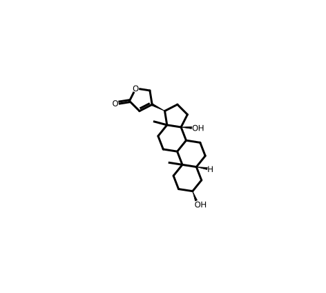 CC12CC[C@H](O)C[C@H]1CCC1C2CCC2(C)[C@@H](C3=CC(=O)OC3)CC[C@]12O